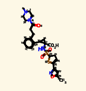 CN1CCN(C(=O)CCc2ccccc2C2CC2(NS(=O)(=O)C2CC=C(c3cc(C(F)(F)F)on3)S2)C(=O)O)CC1